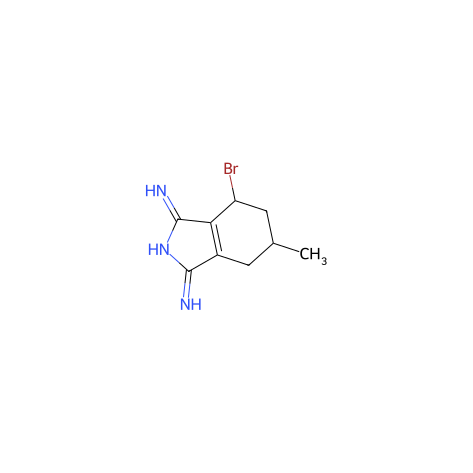 CC1CC2=C(C(=N)NC2=N)C(Br)C1